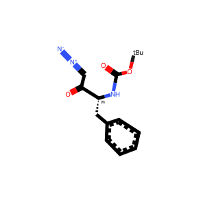 CC(C)(C)OC(=O)N[C@H](Cc1ccccc1)C(=O)C=[N+]=[N-]